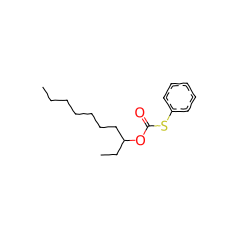 CCCCCCCC(CC)OC(=O)Sc1ccccc1